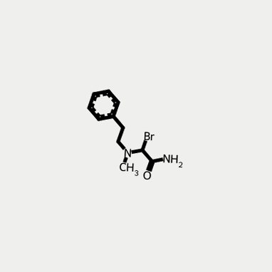 CN(CCc1ccccc1)C(Br)C(N)=O